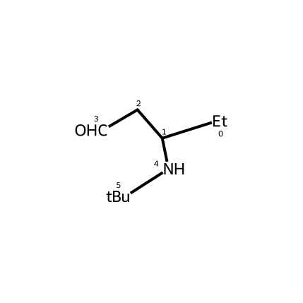 CCC(CC=O)NC(C)(C)C